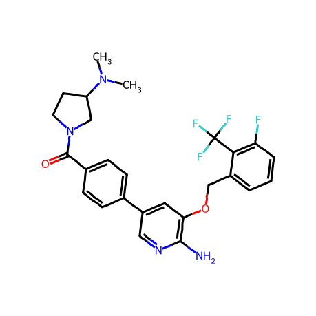 CN(C)C1CCN(C(=O)c2ccc(-c3cnc(N)c(OCc4cccc(F)c4C(F)(F)F)c3)cc2)C1